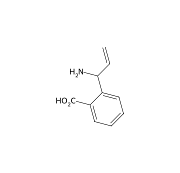 C=CC(N)c1ccccc1C(=O)O